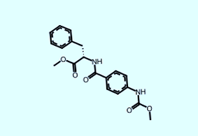 COC(=O)Nc1ccc(C(=O)N[C@@H](Cc2ccccc2)C(=O)OC)cc1